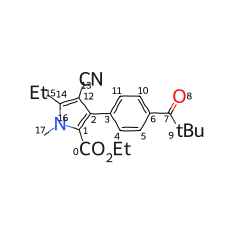 CCOC(=O)c1c(-c2ccc(C(=O)C(C)(C)C)cc2)c(C#N)c(CC)n1C